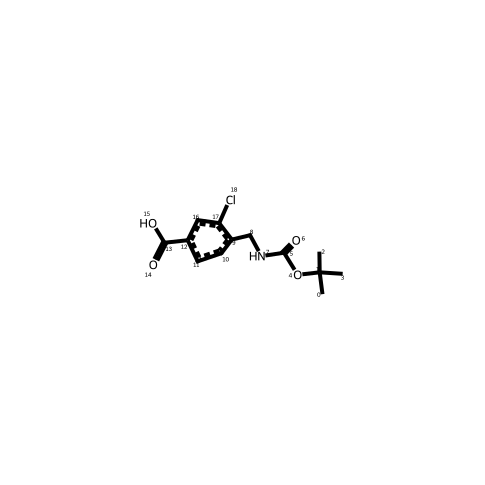 CC(C)(C)OC(=O)NCc1ccc(C(=O)O)cc1Cl